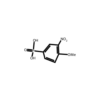 COc1ccc(P(=O)(O)O)cc1[N+](=O)[O-]